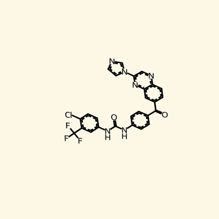 O=C(Nc1ccc(C(=O)c2ccc3ncc(-n4ccnc4)nc3c2)cc1)Nc1ccc(Cl)c(C(F)(F)F)c1